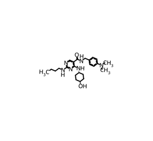 CCCCNc1ncc(C(=O)NCc2ccc(N(C)C)cc2)c(N[C@H]2CC[C@H](O)CC2)n1